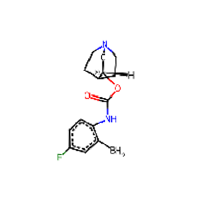 Bc1cc(F)ccc1NC(=O)O[C@H]1CN2CCC1CC2